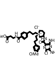 COC(=O)CCNC(=O)c1ccc(CCC[N+]2(CCCc3ccc(OC)cc3)CCCC(NC(=O)c3nc(Cl)c(N)nc3N)C2)cc1.[Cl-]